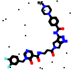 CN1CCN(c2ccc(C(=O)Nc3n[nH]c4c3CN(C(=O)CCNC(=O)c3cncn(Cc5ccc(F)c(F)c5)c3=O)C4)cc2)CC1